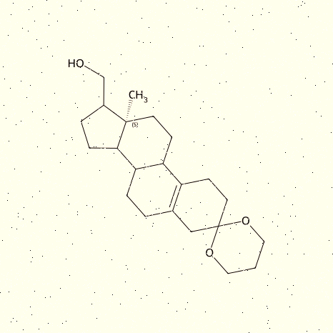 C[C@]12CCC3C4=C(CCC3C1CCC2CO)CC1(CC4)OCCCO1